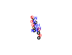 CO/C=C(\C#N)C(=O)N1CCCC(NC(=O)c2sc3nccc4c3c2NC(=O)N4c2ccc(Oc3ccccc3)cc2C)=C1C